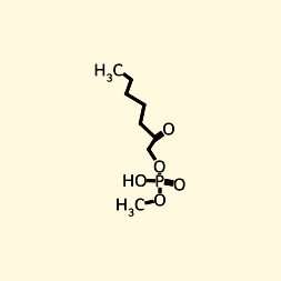 CCCCCC(=O)COP(=O)(O)OC